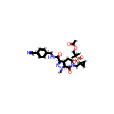 CC(=O)OCC(C)(C)S(=O)(=O)C1(CN2CCc3c(C(=O)NCc4ccc(C#N)cc4)nn(C)c3C2=O)CC1